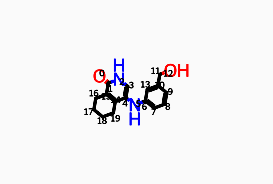 O=c1[nH]cc(Nc2cccc(CO)c2)c2c1CCCC2